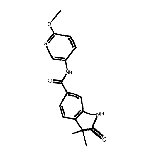 COc1ccc(NC(=O)c2ccc3c(c2)NC(=O)C3(C)C)cn1